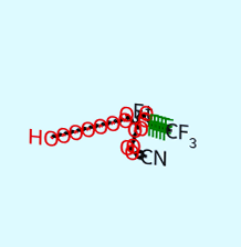 CCC(CCC(CCC(=O)OCCCOCCCOCCCOCCCOCCCOCCCO)C(=O)OCCCCOC(=O)Oc1ccc(C#N)cc1)C(=O)OCCC(F)(F)C(F)(F)C(F)(F)C(F)(F)C(F)(F)C(F)(F)F